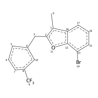 Cc1c(Cc2cccc(C(F)(F)F)c2)oc2c(Br)cccc12